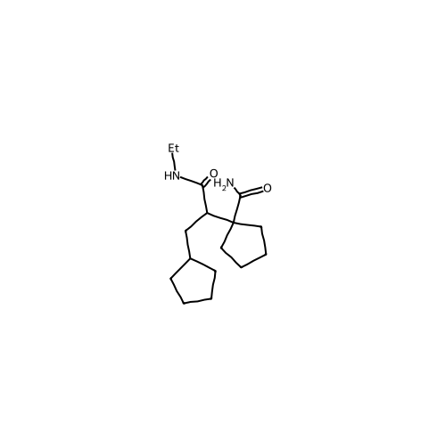 CCNC(=O)C(CC1CCCC1)C1(C(N)=O)CCCC1